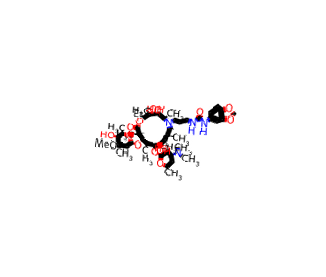 CC[C@H]1OC(=O)[C@H](C)[C@@H](O[C@H]2C[C@@](C)(OC)[C@@H](O)[C@H](C)O2)[C@H](C)[C@@H](O[C@@H]2O[C@H](C)C[C@H](N(C)C)[C@H]2O)[C@](C)(O)C[C@@H](C)CN(CCCNC(=O)Nc2ccc3c(c2)OCO3)[C@H](C)[C@@H](O)[C@]1(C)O